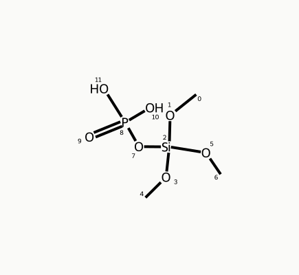 CO[Si](OC)(OC)OP(=O)(O)O